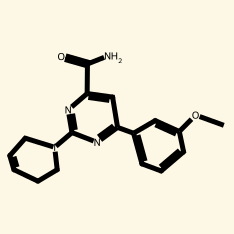 COc1cccc(-c2cc(C(N)=O)nc(I3CC=CCC3)n2)c1